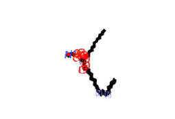 CCCCC/C=C\C/C=C\CCCCCCCC(=O)OC[C@H](COP(=O)([O-])OCC[N+](C)(C)C)OC(=O)CCCCCCCCCCCCC